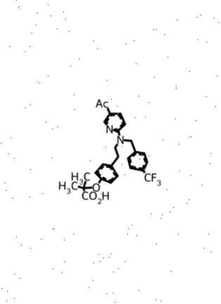 CC(=O)c1ccc(N(CCc2ccc(OC(C)(C)C(=O)O)cc2)Cc2ccc(C(F)(F)F)cc2)nc1